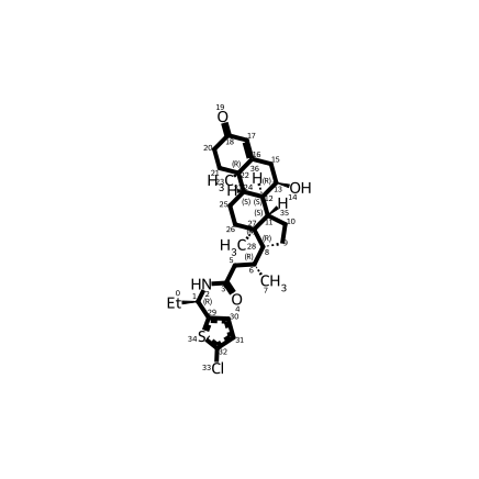 CC[C@@H](NC(=O)C[C@@H](C)[C@H]1CC[C@H]2[C@@H]3[C@H](O)CC4=CC(=O)CC[C@]4(C)[C@H]3CC[C@]12C)c1ccc(Cl)s1